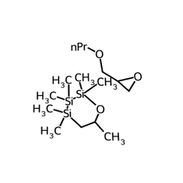 CC1C[Si](C)(C)[Si](C)(C)[Si](C)(C)O1.CCCOCC1CO1